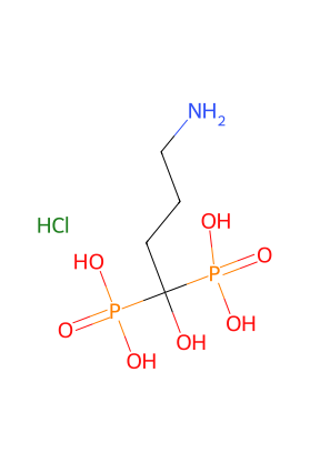 Cl.NCCCC(O)(P(=O)(O)O)P(=O)(O)O